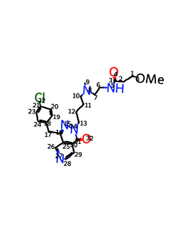 COCCC(=O)NCCN(C)CCCCn1nc(Cc2ccc(Cl)cc2)c2cnccc2c1=O